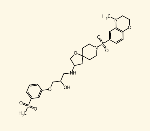 CN1CCOc2ccc(S(=O)(=O)N3CCC4(CC3)CC(NCC(O)COc3cccc(S(C)(=O)=O)c3)CO4)cc21